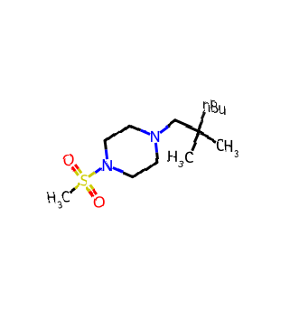 CCCCC(C)(C)CN1CCN(S(C)(=O)=O)CC1